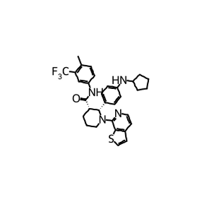 Cc1ccc(NC(=O)[C@H]2CCCN(c3nccc4ccsc34)[C@H]2c2ccc(NC3CCCC3)cc2)cc1C(F)(F)F